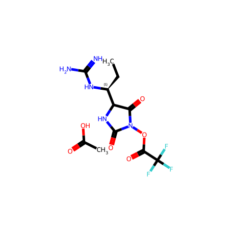 CC(=O)O.CC[C@H](NC(=N)N)C1NC(=O)N(OC(=O)C(F)(F)F)C1=O